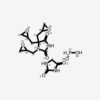 O=C1CNC(=O)N1.O=C1NC(=O)C(CC2CO2)(CC2CO2)N1CC1CO1.O=[PH2]O